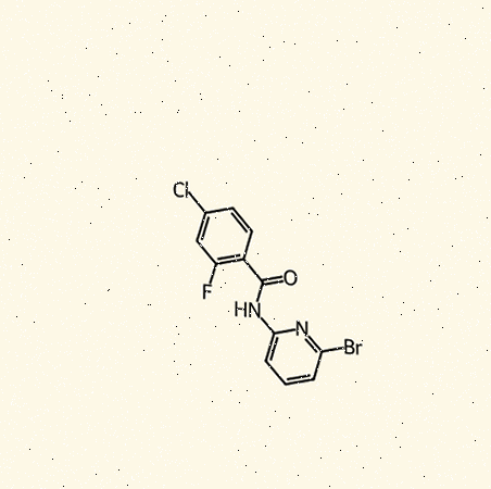 O=C(Nc1cccc(Br)n1)c1ccc(Cl)cc1F